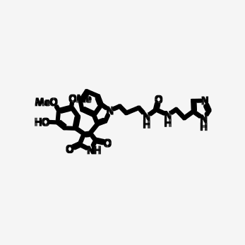 COc1cc(C2=C(c3cn(CCCNC(=O)NCCc4cnc[nH]4)c4ccccc34)C(=O)NC2=O)cc(O)c1OC